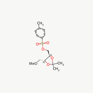 COC[C@H]1OC(C)(C)O[C@@H]1COS(=O)(=O)c1ccc(C)cc1